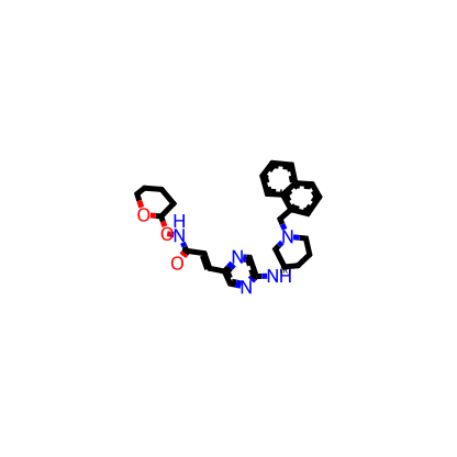 O=C(C=Cc1cnc(N[C@@H]2CCCN(Cc3cccc4ccccc34)C2)cn1)NOC1CCCCO1